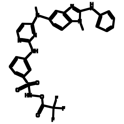 CN(c1ccc2c(c1)nc(Nc1ccccc1)n2C)c1ccnc(Nc2cccc(S(=O)(=O)NOC(=O)C(F)(F)F)c2)n1